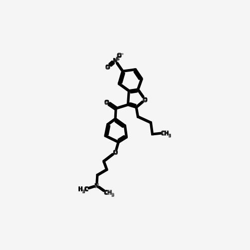 CCCCc1oc2ccc([N+](=O)[O-])cc2c1C(=O)c1ccc(OCCCN(C)C)cc1